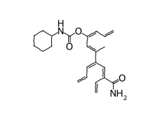 C=CC=C(/C=C(\C=C)C(N)=O)/C(C)=C/C(=C\C=C)OC(=O)NC1CCCCC1